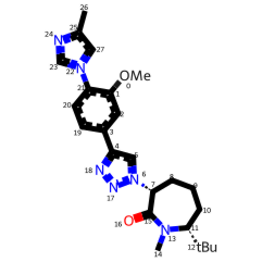 COc1cc(-c2cn([C@@H]3CCC[C@H](C(C)(C)C)N(C)C3=O)nn2)ccc1-n1cnc(C)c1